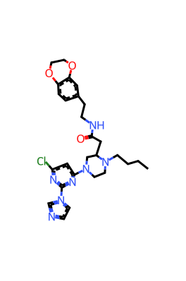 CCCCN1CCN(c2cc(Cl)nc(-n3ccnc3)n2)CC1CC(=O)NCCc1ccc2c(c1)OCCO2